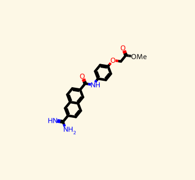 COC(=O)COc1ccc(NC(=O)c2ccc3cc(C(=N)N)ccc3c2)cc1